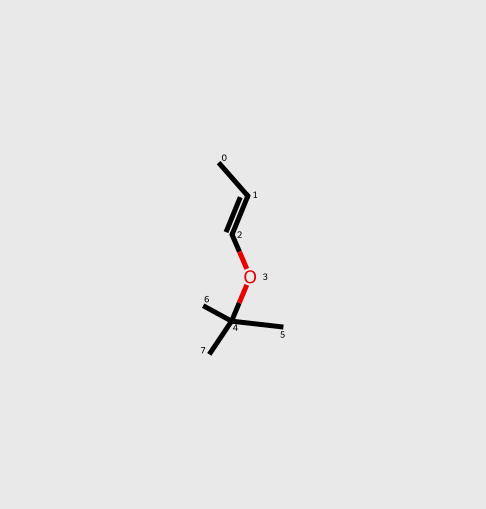 C/C=C/OC(C)(C)C